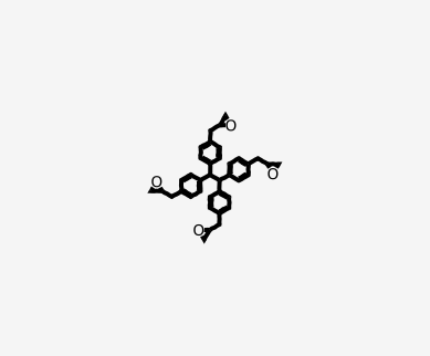 c1cc(C(c2ccc(CC3CO3)cc2)C(c2ccc(CC3CO3)cc2)c2ccc(CC3CO3)cc2)ccc1CC1CO1